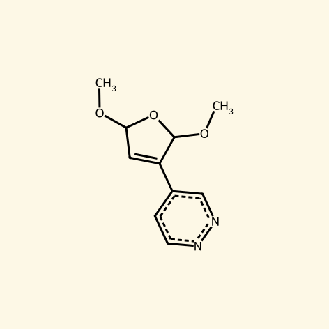 COC1C=C(c2ccnnc2)C(OC)O1